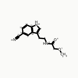 COCC(=O)NCCc1c[nH]c2ccc(C#N)cc12